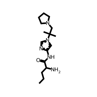 CCCC(N)C(=O)Nc1cn(C(C)(C)CN2CCCC2)cn1